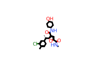 CNC(=O)c1cc(C(=O)N[C@H]2CC[C@H](O)CC2)c([C@@H](C)C2C=C(Cl)C(C)=CC2)o1